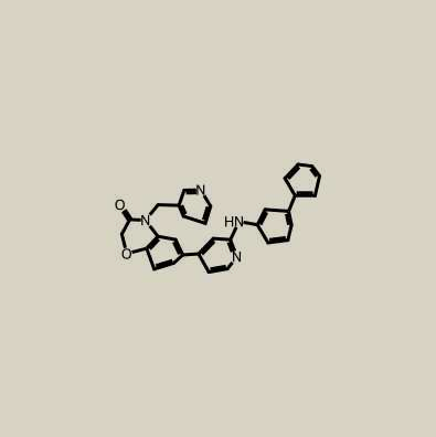 O=C1COc2ccc(-c3ccnc(Nc4cccc(-c5ccccc5)c4)c3)cc2N1Cc1cccnc1